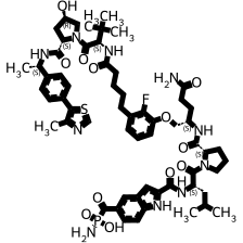 Cc1ncsc1-c1ccc([C@H](C)NC(=O)[C@@H]2C[C@@H](O)CN2C(=O)[C@@H](NC(=O)CCCCc2cccc(OC[C@H](CCC(N)=O)NC(=O)[C@@H]3CCCN3C(=O)[C@H](CC(C)C)NC(=O)c3cc4cc(C(=O)P(N)(=O)O)ccc4[nH]3)c2F)C(C)(C)C)cc1